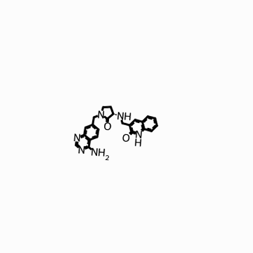 Nc1ncnc2cc(CN3CC[C@H](NCc4cc5ccccc5[nH]c4=O)C3=O)ccc12